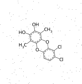 Cc1c(O)c(O)c(C)c2c1Oc1ccc(Cl)c(Cl)c1O2